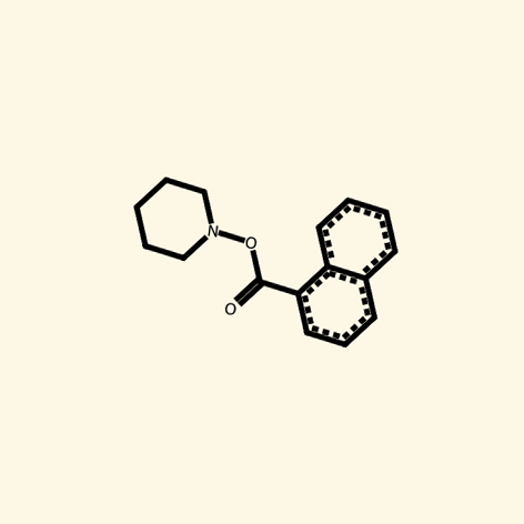 O=C(ON1CCCCC1)c1cccc2ccccc12